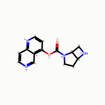 O=C(Oc1ccnc2ccncc12)N1CCC2NCC21